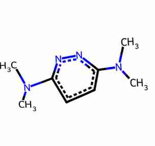 CN(C)c1ccc(N(C)C)nn1